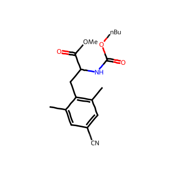 CCCCOC(=O)NC(Cc1c(C)cc(C#N)cc1C)C(=O)OC